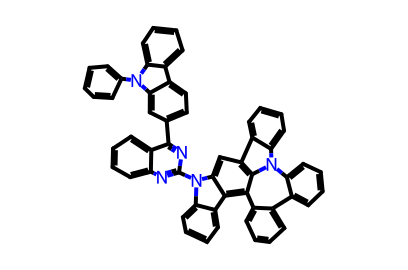 c1ccc(-n2c3ccccc3c3ccc(-c4nc(-n5c6ccccc6c6c7c8c(cc65)c5ccccc5n8-c5ccccc5-c5ccccc5-7)nc5ccccc45)cc32)cc1